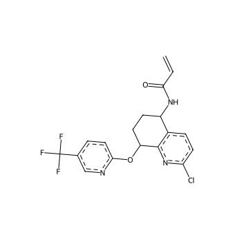 C=CC(=O)NC1CCC(Oc2ccc(C(F)(F)F)cn2)c2nc(Cl)ccc21